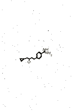 N=C(N)c1ccc(CCC([O])CC2CC2)cc1